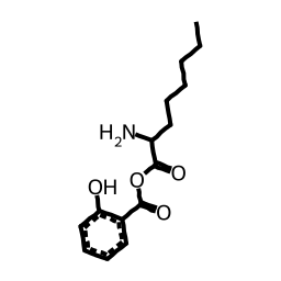 CCCCCCC(N)C(=O)OC(=O)c1ccccc1O